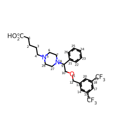 O=C(O)CCCCN1CCN(C(COCc2cc(C(F)(F)F)cc(C(F)(F)F)c2)c2ccccc2)CC1